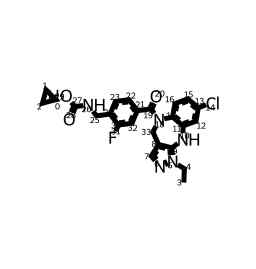 C1CC1.CCn1ncc2c1Nc1cc(Cl)ccc1N(C(=O)c1ccc(CNC(=O)O)c(F)c1)C2